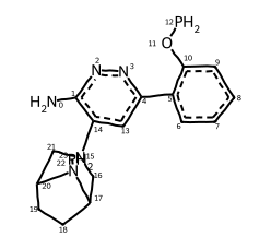 Nc1nnc(-c2ccccc2OP)cc1N1CC2CCC(C1)N2P